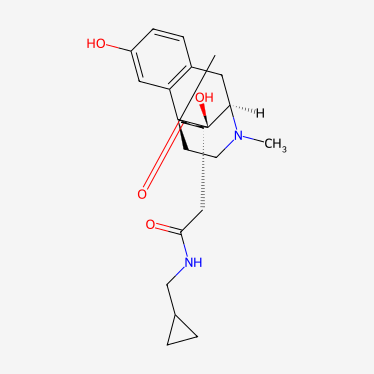 CN1CC[C@]23CC(=O)[C@@H](CC(=O)NCC4CC4)C[C@@]2(O)[C@H]1Cc1ccc(O)cc13